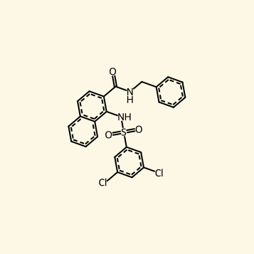 O=C(NCc1ccccc1)c1ccc2ccccc2c1NS(=O)(=O)c1cc(Cl)cc(Cl)c1